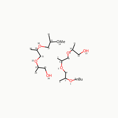 CCCCOC(C)COC(C)COC(C)CO.COC(C)COC(C)COC(C)CO